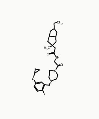 CCC1CC2CC(C)(CC(=O)NCC(=O)N3CCN(Cc4cc(OC5CC5)ccc4F)CC3)CC2C1